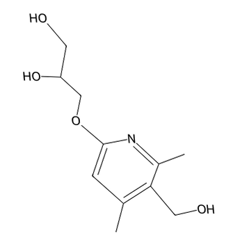 Cc1cc(OCC(O)CO)nc(C)c1CO